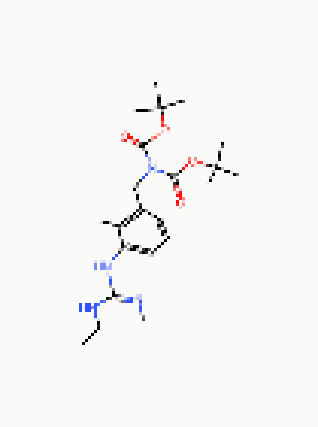 CCNC(=NC)Nc1cccc(CN(C(=O)OC(C)(C)C)C(=O)OC(C)(C)C)c1C